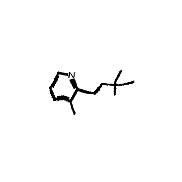 Cc1cccnc1CCC(C)(C)C